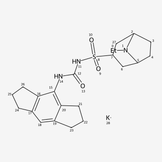 CCN1C2CCC1CC(S(=O)(=O)NC(=O)Nc1c3c(cc4c1CCC4)CCC3)C2.[K]